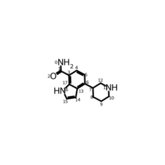 NC(=O)c1ccc(C2CCCNC2)c2cc[nH]c12